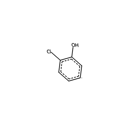 Oc1c[c]ccc1Cl